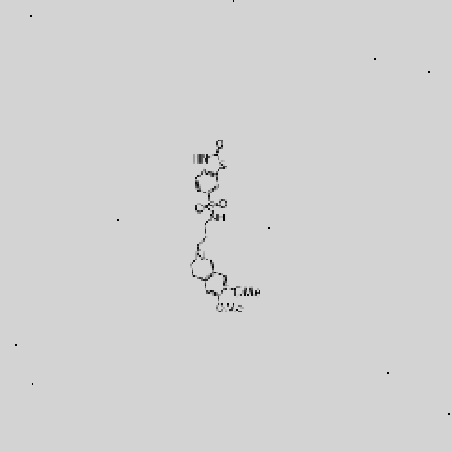 COc1cc2c(cc1OC)CN(CCCNS(=O)(=O)c1ccc3[nH]c(=O)sc3c1)CC2